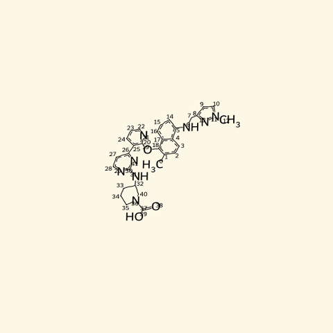 Cc1ccc2c(NCc3ccn(C)n3)cccc2c1Oc1ncccc1-c1ccnc(NC2CCCN(C(=O)O)C2)n1